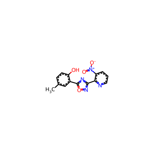 Cc1ccc(O)c(-c2nc(-c3ncccc3[N+](=O)[O-])no2)c1